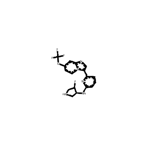 FC1CNCC1Nc1cccc(-c2cnc3cc(OC(F)(F)F)ccn23)n1